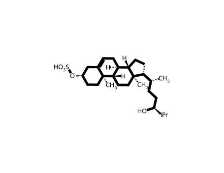 CC(C)[C@@H](O)CC[C@@H](C)[C@H]1CC[C@H]2[C@@H]3CC=C4C[C@@H](OS(=O)(=O)O)CC[C@]4(C)[C@H]3CC[C@]12C